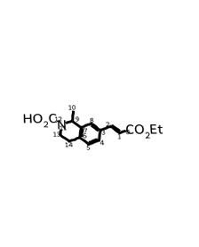 CCOC(=O)C=Cc1ccc2c(c1)C(C)N(C(=O)O)CC2